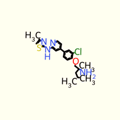 Cc1csc(Nc2cc(-c3ccc(OCC(C)(N)CC(C)C)c(Cl)c3)ccn2)n1